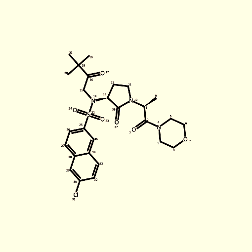 C[C@@H](C(=O)N1CCOCC1)N1CC[C@H](N(CC(=O)C(C)(C)C)S(=O)(=O)c2ccc3cc(Cl)ccc3c2)C1=O